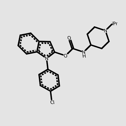 CC(C)N1CCC(NC(=O)Oc2cc3ccccc3n2-c2ccc(Cl)cc2)CC1